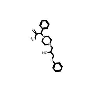 NC(=O)C(c1ccccc1)N1CCN(CC(O)COc2ccccc2)CC1